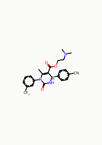 CC1=C(C(=O)OCCN(C)C)[C@@H](c2ccc(C#N)cc2)NC(=O)N1c1cccc(C(F)(F)F)c1